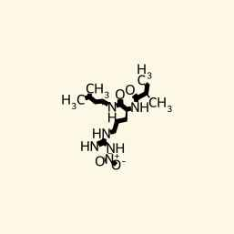 CC[C@H](C)C(=O)N[C@@H](CCCNC(=N)N[N+](=O)[O-])C(=O)N[CH]CC(C)C